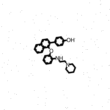 Oc1ccc(-c2ccc3ccccc3c2Oc2ccccc2NCCN2CCCCC2)cc1